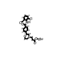 CC(C)(C)OC(=O)CCN1CCOC(c2ccc(C(=O)Nc3c(Cl)cccc3Cl)cc2)C1